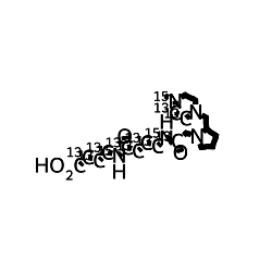 C[15N]1CCN(CC2CCCN2C[13C](=O)[15NH][13CH2][13CH2][13CH2][13C](=O)[15NH][13CH2][13CH2][13CH2][13C](=O)O)[13CH2][13CH2]1